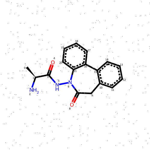 C[C@H](N)C(=O)NN1C(=O)Cc2ccccc2-c2ccccc21